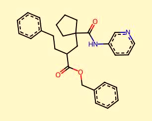 O=C(OCc1ccccc1)C(CCc1ccccc1)CC1(C(=O)Nc2cccnc2)CCCC1